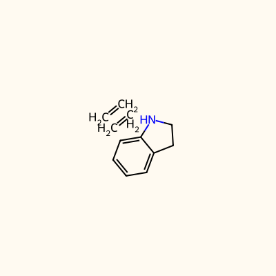 C=C.C=C.c1ccc2c(c1)CCN2